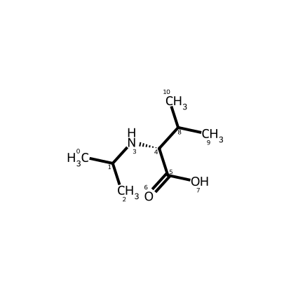 CC(C)N[C@@H](C(=O)O)C(C)C